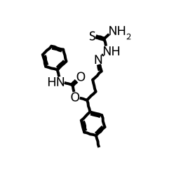 Cc1ccc(C(CCC=NNC(N)=S)OC(=O)Nc2ccccc2)cc1